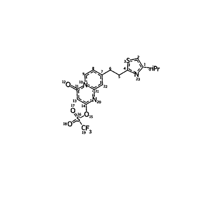 CC(C)c1csc(CCc2ccn3c(=O)cc(OS(=O)(=O)C(F)(F)F)nc3c2)n1